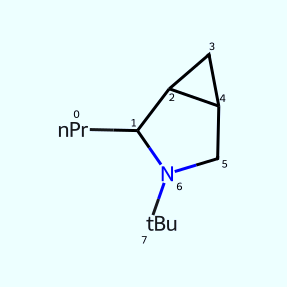 CCCC1C2CC2CN1C(C)(C)C